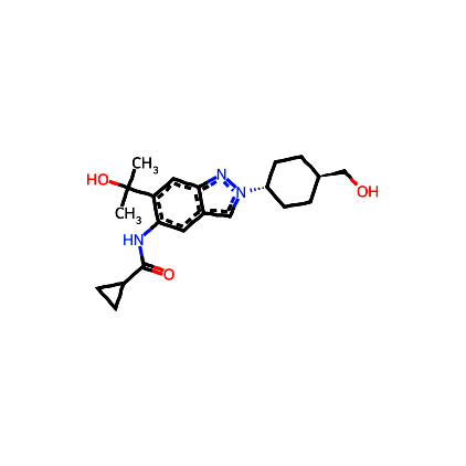 CC(C)(O)c1cc2nn([C@H]3CC[C@H](CO)CC3)cc2cc1NC(=O)C1CC1